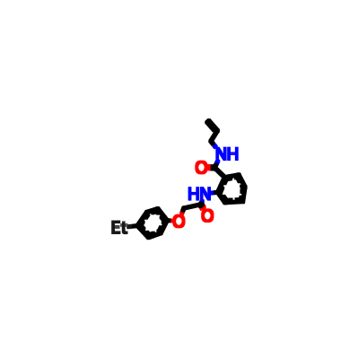 C=CCNC(=O)c1ccccc1NC(=O)COc1ccc(CC)cc1